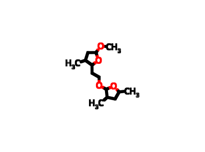 COC1CC(C)C(CCOC2OC(C)CC2C)O1